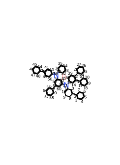 C1=C(c2ccccc2)CCC=C1N1c2cc(-c3ccccc3)c(-c3ccccc3)cc2B2c3ccccc3N(c3ccc(-c4ccccc4)cc3)c3cc(-c4ccccc4)cc1c32